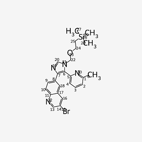 Cc1cccc(-c2c(-c3ccc4ncc(Br)cc4c3)ncn2COCC[Si](C)(C)C)n1